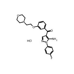 Cl.Nc1c(C(=O)c2cccc(OCCN3CCOCC3)c2)cnn1-c1ccc(F)cc1